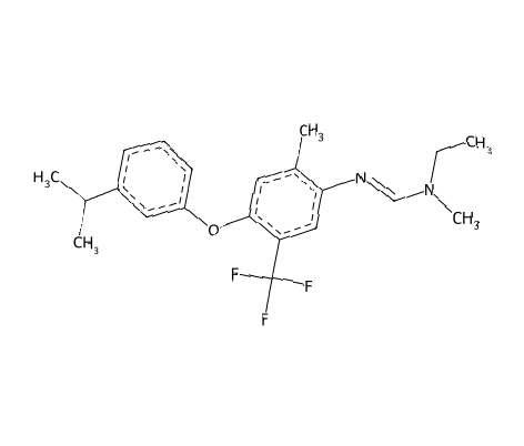 CCN(C)/C=N/c1cc(C(F)(F)F)c(Oc2cccc(C(C)C)c2)cc1C